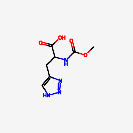 COC(=O)NC(Cc1c[nH]nn1)C(=O)O